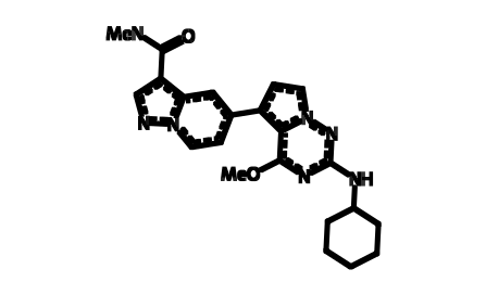 CNC(=O)c1cnn2ccc(-c3ccn4nc(NC5CCCCC5)nc(OC)c34)cc12